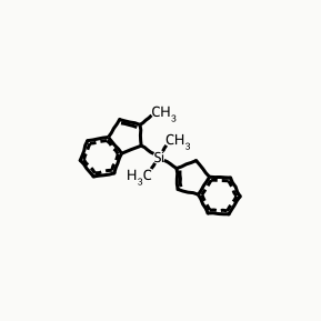 CC1=Cc2ccccc2C1[Si](C)(C)C1=Cc2ccccc2C1